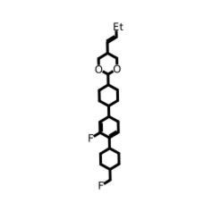 CC/C=C/C1COC(C2CCC(C3C=C(F)C(C4CCC(CF)CC4)=CC3)CC2)OC1